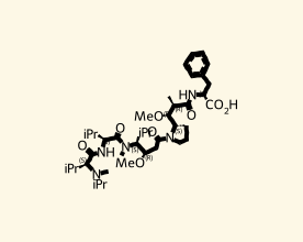 CO[C@H]([C@@H](C)C(=O)N[C@@H](Cc1ccccc1)C(=O)O)[C@@H]1CCCN1C(=O)C[C@@H](OC)[C@H](C(C)C)N(C)C(=O)[C@@H](NC(=O)[C@H](C(C)C)N(C)C(C)C)C(C)C